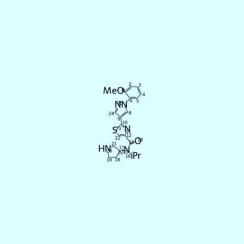 COc1ccccc1-n1cc(-c2nc(C(=O)N(C(C)C)[C@H]3CCNC3)cs2)cn1